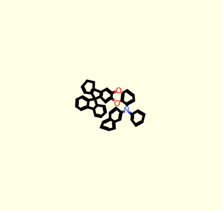 C1=CC2c3ccccc3C3(C4=C(CCC=C4)c4cc5c(cc43)Oc3c(cccc3N(c3ccccc3)c3ccc4ccccc4c3)O5)C2C=C1